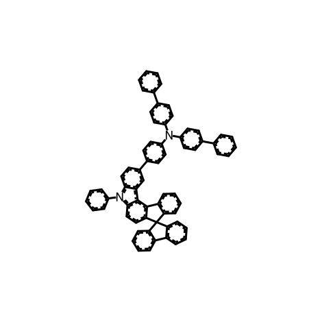 c1ccc(-c2ccc(N(c3ccc(-c4ccccc4)cc3)c3ccc(-c4ccc5c(c4)c4c6c(ccc4n5-c4ccccc4)C4(c5ccccc5-c5ccccc54)c4ccccc4-6)cc3)cc2)cc1